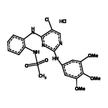 COc1cc(Nc2ncc(Cl)c(Nc3ccccc3NS(C)(=O)=O)n2)cc(OC)c1OC.Cl